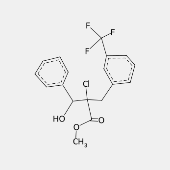 COC(=O)C(Cl)(Cc1cccc(C(F)(F)F)c1)C(O)c1ccccc1